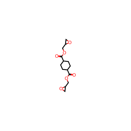 O=C(OCC1CO1)C1CCC(C(=O)OCC2CO2)CC1